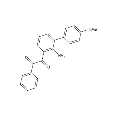 COc1ccc(-c2cccc(C(=O)C(=O)c3ccccc3)c2N)cc1